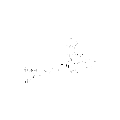 C=C(CCCCCCn1cnc2c(N3CCCC3)nc(N3CCCC3)nc21)NO